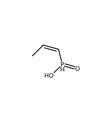 C/C=C\[PH](=O)O